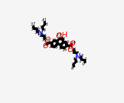 CCCCN(CCCC)CCCOC(=O)c1ccc2c(c1)cc(O)c1cc(C(=O)OCCCN(CCCC)CCCC)ccc12